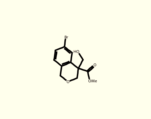 COC(=O)C1(CO)COCc2ccc(Br)cc21